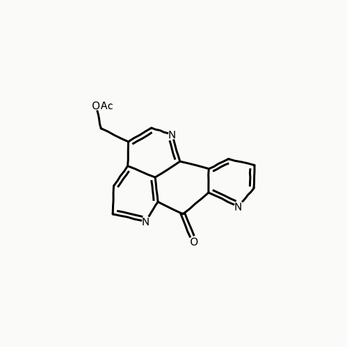 CC(=O)OCc1cnc2c3c(nccc13)C(=O)c1ncccc1-2